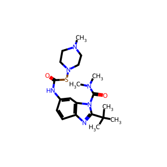 CN1CCN(SC(=O)Nc2ccc3nc(C(C)(C)C)n(C(=O)N(C)C)c3c2)CC1